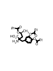 CCC(=O)Oc1ccc(CC(N)(C[C@H](C)OC(=O)C(C)C)C(=O)O)cc1OC(=O)CC